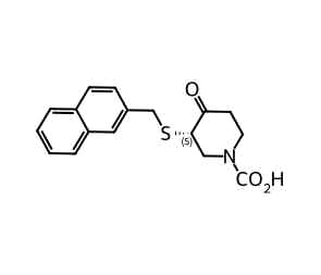 O=C1CCN(C(=O)O)C[C@@H]1SCc1ccc2ccccc2c1